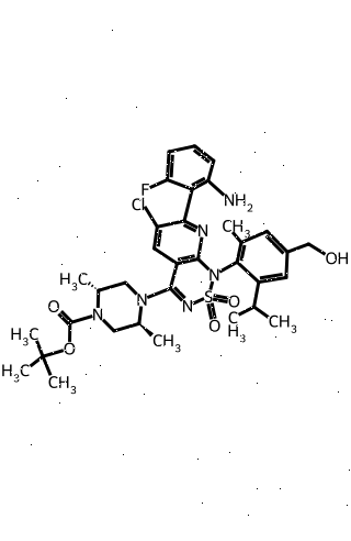 Cc1cc(CO)cc(C(C)C)c1N1c2nc(-c3c(N)cccc3F)c(Cl)cc2C(N2C[C@@H](C)N(C(=O)OC(C)(C)C)C[C@@H]2C)=NS1(=O)=O